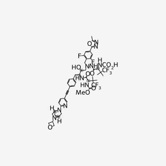 COC(=O)N[C@H](C(=O)N[C@@H](Cc1ccc(C#Cc2ccc(N3C[C@H]4C[C@@H]3CN4C3COC3)nc2)cc1)[C@@H](O)CN(Cc1c(F)cc(-c2nnc(C)o2)cc1F)NC(=O)[C@@H](NC(=O)O)C(C)(C)C(F)(F)F)C(C)(C)C(F)(F)F